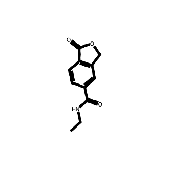 CCNC(=O)c1ccc2c(c1)COC2=O